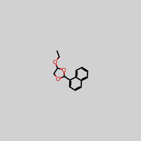 CCOC1CO[C](c2cccc3ccccc23)O1